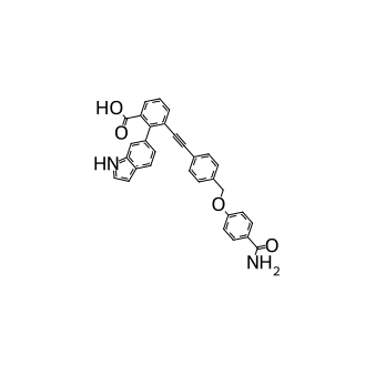 NC(=O)c1ccc(OCc2ccc(C#Cc3cccc(C(=O)O)c3-c3ccc4cc[nH]c4c3)cc2)cc1